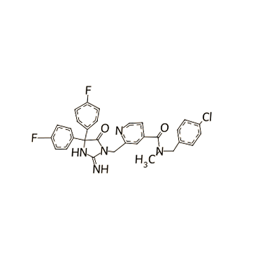 CN(Cc1ccc(Cl)cc1)C(=O)c1ccnc(CN2C(=N)NC(c3ccc(F)cc3)(c3ccc(F)cc3)C2=O)c1